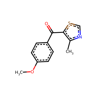 COc1ccc(C(=O)c2scnc2C)cc1